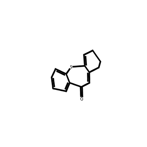 O=C1C=C2CCCC=C2Sc2ccccc21